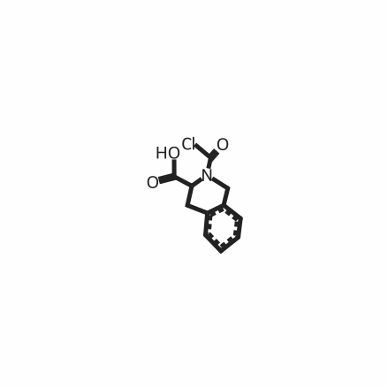 O=C(O)C1Cc2ccccc2CN1C(=O)Cl